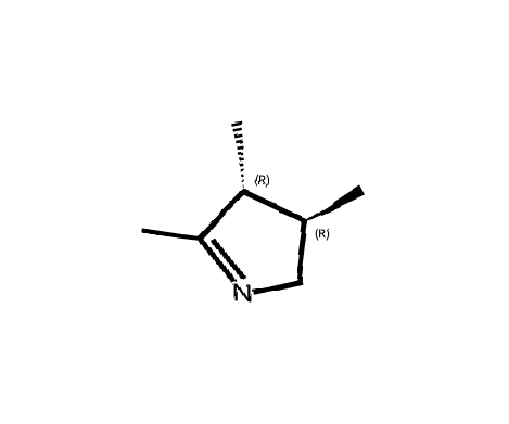 CC1=NC[C@H](C)[C@H]1C